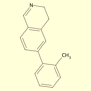 Cc1ccccc1-c1ccc2c(c1)CCN=C2